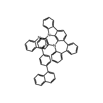 c1ccc(N2c3ccccc3-c3ccccc3-c3ccc4c5ccccc5n(-c5nc(-c6ccc(-c7cccc8ccccc78)cc6)c6ccccc6n5)c4c32)cc1